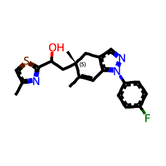 CC1=Cc2c(cnn2-c2ccc(F)cc2)C[C@@]1(C)CC(O)c1nc(C)cs1